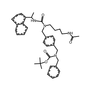 CC(=O)NCCCCN(Cc1ccc(CN(Cc2ccccc2)C(=O)OC(C)(C)C)cc1)C(=O)NC(C)c1cccc2ccccc12